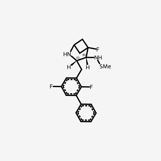 CSN[C@@H]1[C@H](Cc2cc(F)cc(-c3ccccc3)c2F)NC2CC1(F)C2